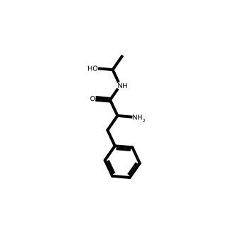 CC(O)NC(=O)C(N)Cc1ccccc1